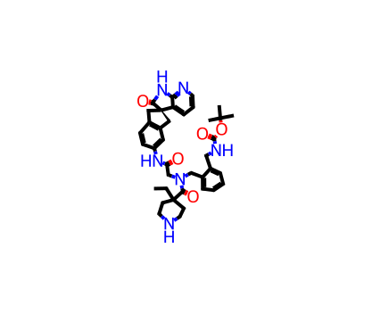 CCC1(C(=O)N(CC(=O)Nc2ccc3c(c2)C[C@@]2(C3)C(=O)Nc3ncccc32)Cc2ccccc2CNC(=O)OC(C)(C)C)CCNCC1